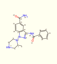 CC1CNCCN1n1nc(NC(=O)c2ccccc2)c2cc(C(N)=O)ccc21